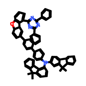 CC1(C)c2ccccc2-c2ccc(N(c3ccc(-c4ccc(C5=CC6c7c(cccc7-c7nc(-c8ccccc8)nc(-c8ccccc8)n7)OC6C=C5)cc4)cc3)c3cccc4c3-c3ccccc3C4(C)C)cc21